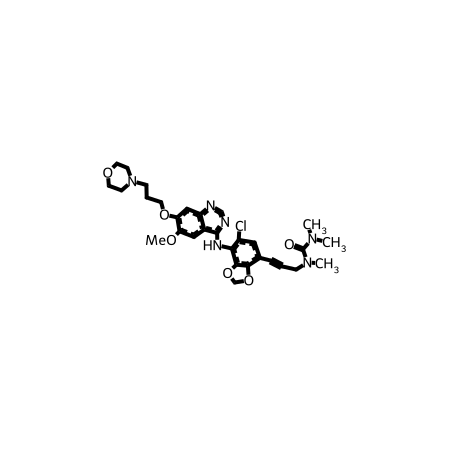 COc1cc2c(Nc3c(Cl)cc(C#CCN(C)C(=O)N(C)C)c4c3OCO4)ncnc2cc1OCCCN1CCOCC1